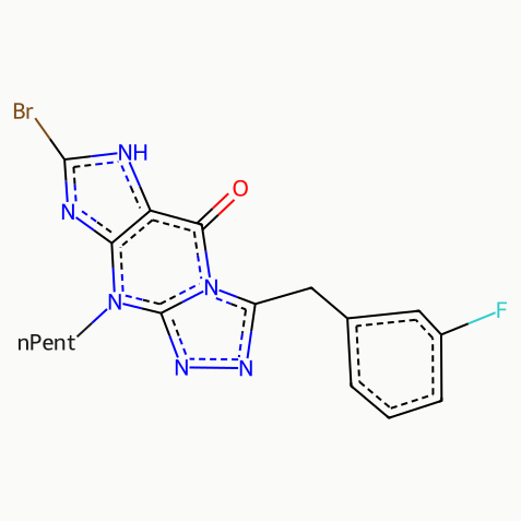 CCCCCn1c2nc(Br)[nH]c2c(=O)n2c(Cc3cccc(F)c3)nnc12